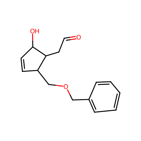 O=CCC1C(O)C=CC1COCc1ccccc1